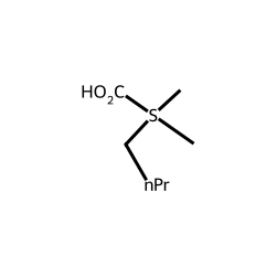 CCCCS(C)(C)C(=O)O